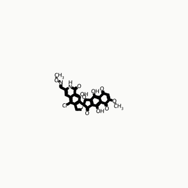 CO/N=C/c1cc2c(Cl)c3c(c(O)c2c(=O)[nH]1)[C@@]1(CC3)C(=O)c2c(O)c3c(c(O)c2C1=O)C(=O)C(OC)=CC3=O